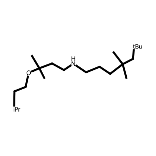 CC(C)CCOC(C)(C)CCNCCCC(C)(C)CC(C)(C)C